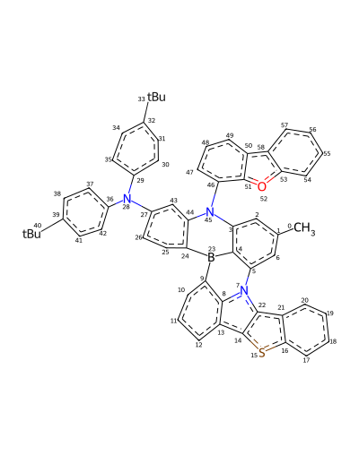 Cc1cc2c3c(c1)-n1c4c(cccc4c4sc5ccccc5c41)B3c1ccc(N(c3ccc(C(C)(C)C)cc3)c3ccc(C(C)(C)C)cc3)cc1N2c1cccc2c1oc1ccccc12